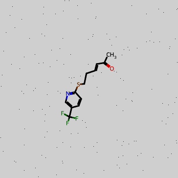 CC(=O)/C=C/CCSc1ccc(C(F)(F)F)cn1